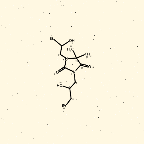 CCC(O)CN1C(=O)N(CC(O)CC(C)C)C(=O)C1(C)C